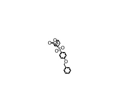 O=C1OC2CCC1N(S(=O)(=O)c1ccc(OCc3ccccc3)cc1)C2